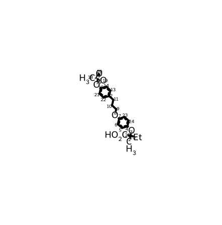 CCC(C)(Oc1ccc(OCCCc2ccc(OS(C)(=O)=O)cc2)cc1)C(=O)O